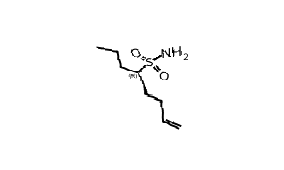 C=CCC[C@@H](CCC)S(N)(=O)=O